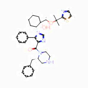 CC(C)(OC[C@]1(O)CCCC[C@H]1n1cnc(C(=O)N2CCNC[C@H]2Cc2ccccc2)c1-c1ccccc1)c1nccs1